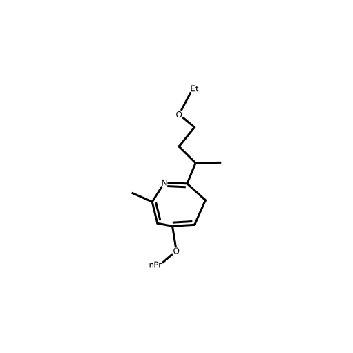 CCCOC1=CCC(C(C)CCOCC)=NC(C)=C1